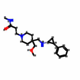 CNC(=O)CCN1CCC(CN[C@@H]2CC2c2ccccc2)(COC)CC1